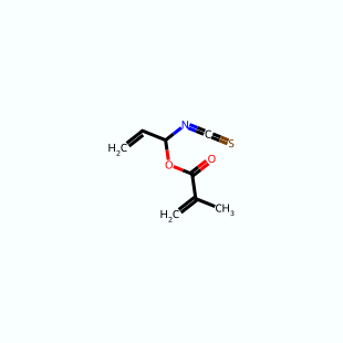 C=CC(N=C=S)OC(=O)C(=C)C